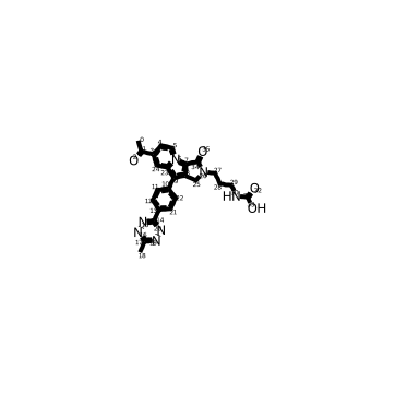 CC(=O)c1ccn2c3c(c(-c4ccc(-c5nnc(C)nn5)cc4)c2c1)CN(CCCNC(=O)O)C3=O